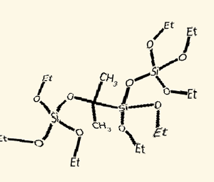 CCO[Si](OCC)(OCC)OC(C)(C)[Si](OCC)(OCC)O[Si](OCC)(OCC)OCC